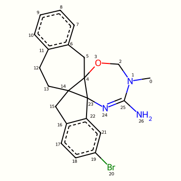 CN1COC23Cc4ccccc4CCC24Cc2ccc(Br)cc2C43N=C1N